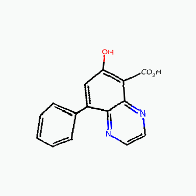 O=C(O)c1c(O)cc(-c2ccccc2)c2nccnc12